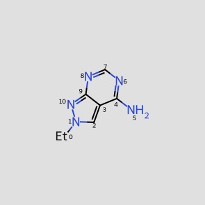 CCn1cc2c(N)ncnc2n1